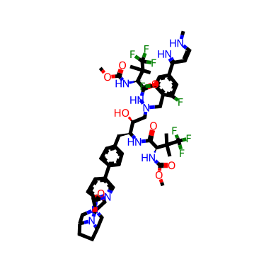 CN/C=C\C(=N)c1cc(F)c(CN(C[C@H](O)[C@H](Cc2ccc(-c3ccc(N4CC5CCC(C4)N5C4COC4)nc3)cc2)NC(=O)[C@@H](NC(=O)OC)C(C)(C)C(F)(F)F)NC(=O)[C@@H](NC(=O)OC)C(C)(C)C(F)(F)F)c(F)c1